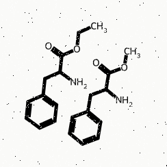 CCOC(=O)C(N)Cc1ccccc1.COC(=O)C(N)Cc1ccccc1